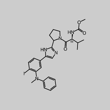 COC(=O)N[C@H](C(=O)N1CCCC1c1ncc(-c2ccc(I)c(N(C)c3ccccc3)c2)[nH]1)C(C)C